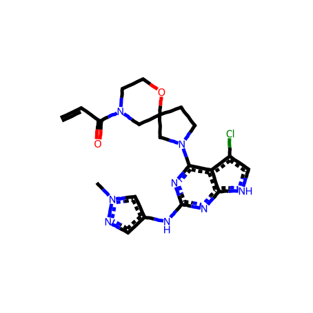 C=CC(=O)N1CCOC2(CCN(c3nc(Nc4cnn(C)c4)nc4[nH]cc(Cl)c34)C2)C1